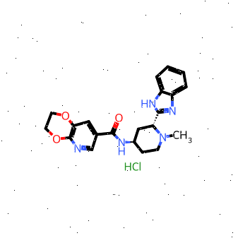 CN1CC[C@@H](NC(=O)c2cnc3c(c2)OCCO3)C[C@@H]1c1nc2ccccc2[nH]1.Cl